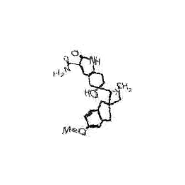 COc1ccc2c(c1)CCC1(C2)CN(C)[C@H]1[C@@]1(O)CCc2[nH]c(=O)c(C(N)=O)cc2C1